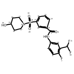 O=C(Nc1ccc(F)c(C(F)F)c1)c1cccc(S(=O)(=O)N2CCC(O)CC2)c1